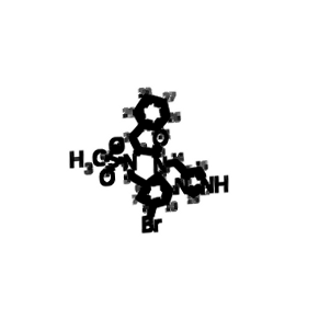 CS(=O)(=O)N1Cc2cc(Br)ccc2N(Cc2c[nH]cn2)C(=O)C1Cc1ccccc1